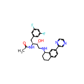 CC(=O)N[C@@H](Cc1cc(F)cc(F)c1)[C@H](O)CNC1CCCc2ccc(-c3cnccn3)cc21